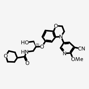 COc1ncc(N2CCOc3ccc(O[C@H](CO)CNC(=O)C4CCOCC4)cc32)cc1C#N